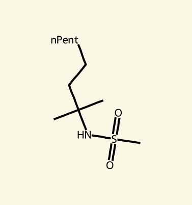 CCCCCCCC(C)(C)NS(C)(=O)=O